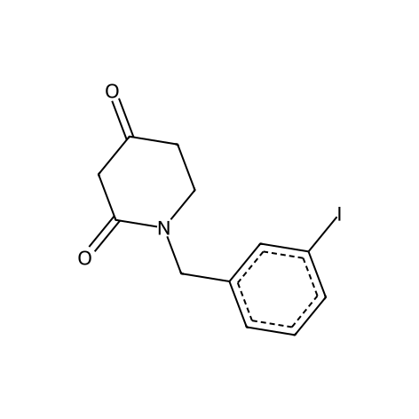 O=C1CCN(Cc2cccc(I)c2)C(=O)C1